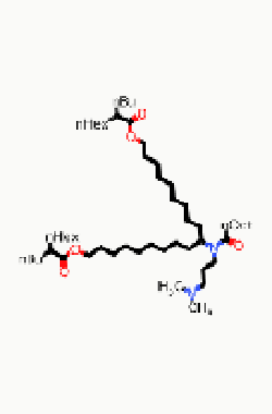 CCCCCCCCC(=O)N(CCCN(C)C)C(CCCCCCCCCOC(=O)C(CCCC)CCCCCC)CCCCCCCCCOC(=O)C(CCCC)CCCCCC